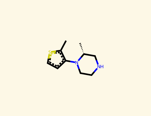 Cc1sccc1N1CCNC[C@H]1C